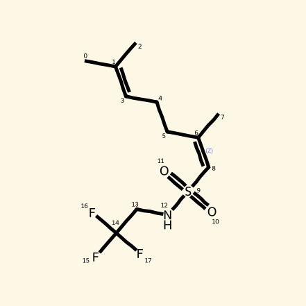 CC(C)=CCC/C(C)=C\S(=O)(=O)NCC(F)(F)F